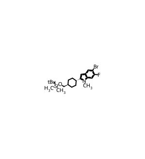 Cn1c2cc(F)c(Br)cc2cc1[C@H]1CC[C@H](CO[Si](C)(C)C(C)(C)C)CC1